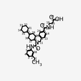 CCc1cccc(NC(=O)N(Cc2ccc(C(=O)NCCC(=O)O)cc2)C2CCC(C3CCCCC3)CC2)c1